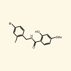 CSc1ccc(C(=O)NCc2ccc(Br)cc2F)c(O)c1